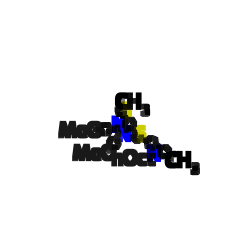 CCCCCCCCn1c2cc(C)ccc2c2ccc(-c3ccc(-c4ccc(-c5ccc(C)s5)c5nc(-c6ccc(OC)cc6)c(-c6ccc(OC)cc6)nc45)s3)cc21